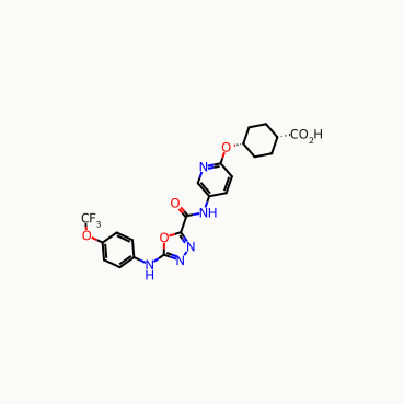 O=C(Nc1ccc(O[C@H]2CC[C@@H](C(=O)O)CC2)nc1)c1nnc(Nc2ccc(OC(F)(F)F)cc2)o1